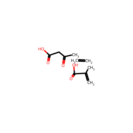 C=C.C=C(C)C(=O)O.CC(=O)CC(=O)O